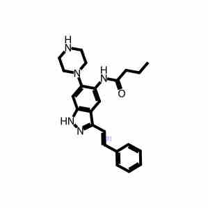 CCCC(=O)Nc1cc2c(/C=C/c3ccccc3)n[nH]c2cc1N1CCNCC1